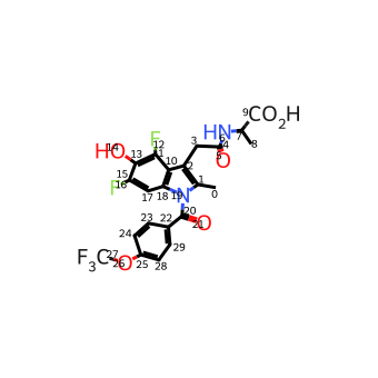 Cc1c(CC(=O)NC(C)C(=O)O)c2c(F)c(O)c(F)cc2n1C(=O)c1ccc(OC(F)(F)F)cc1